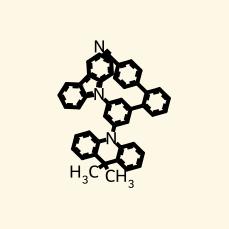 CC1(C)c2ccccc2N(c2cc(-c3ccccc3-c3ccc(C#N)cc3)cc(-n3c4ccccc4c4ccccc43)c2)c2ccccc21